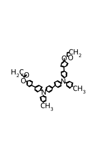 C=CC(=O)Oc1ccc(-c2ccc(N(c3ccc(C)cc3)c3ccc(-c4ccc(N(c5ccc(C)cc5)c5ccc(-c6ccc(OC(=O)C=C)cc6)cc5)cc4)cc3)cc2)cc1